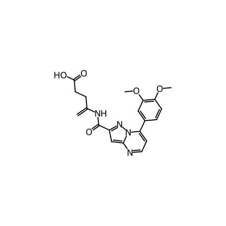 C=C(CCC(=O)O)NC(=O)c1cc2nccc(-c3ccc(OC)c(OC)c3)n2n1